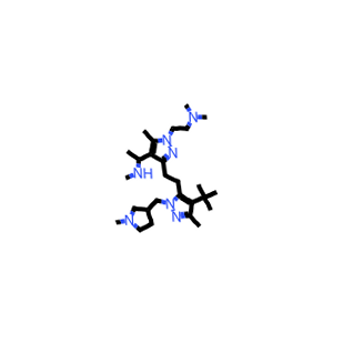 CNC(C)c1c(CCc2c(C(C)(C)C)c(C)nn2CC2CCN(C)C2)nn(CCN(C)C)c1C